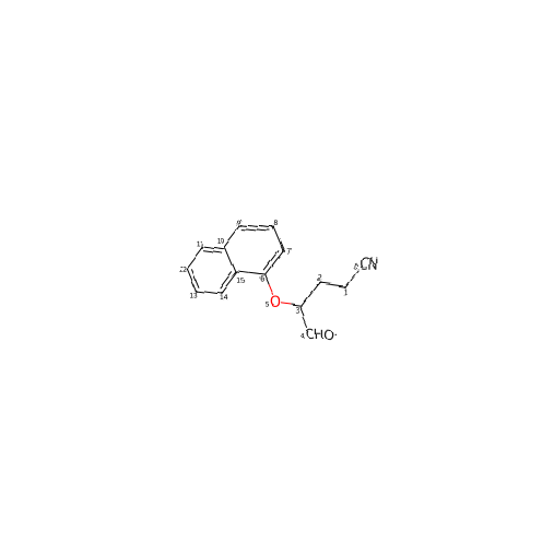 N#CCCC([C]=O)Oc1cccc2ccccc12